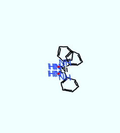 [NH]=[Ni](=[NH])(=[NH])(=[NH])(=[NH])(=[NH])([c]1ccccc1)([c]1ccccc1)[c]1ccccc1